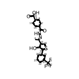 C/C(=N\NC(=O)c1ccc(C(=O)O)cc1)c1csc(-c2cccc(C(F)(F)F)c2)c1O